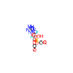 COc1ccc(OP(=S)(OC[C@@]2(C(F)F)O[C@@H](n3cnc4c(N)ncnc43)C(F)C2O)Oc2ccc(OC)cc2)cc1